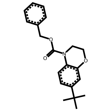 CC(C)(C)c1ccc2c(c1)OCCN2C(=O)OCc1ccccc1